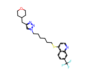 FC(F)(F)c1ccc2c(SCCCCCCn3cc(CC4CCOCC4)nn3)ccnc2c1